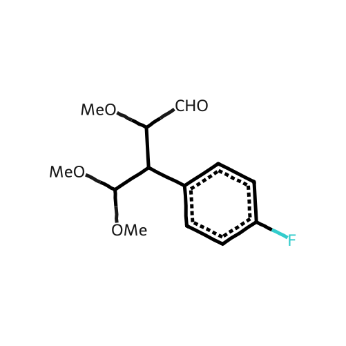 COC(C=O)C(c1ccc(F)cc1)C(OC)OC